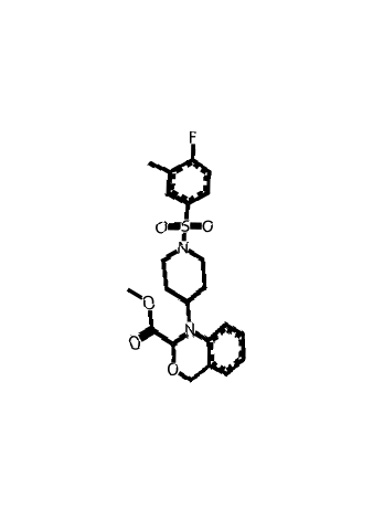 COC(=O)C1OCc2ccccc2N1C1CCN(S(=O)(=O)c2ccc(F)c(C)c2)CC1